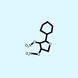 O=[N+]([O-])OC1COC(C2CCCCC2)C1O[N+](=O)[O-]